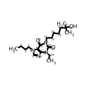 CCCCn1cnc2c1c(=O)n(CCCCCC(C)(C)O)c(=O)n2CC